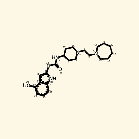 O=C(NC1CCN(CCN2CCCCCC2)CC1)Oc1cc2c(O)cccc2[nH]1